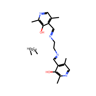 CC(=O)O.CC(=O)O.Cc1cnc(C)c(O)c1C=NCCN=Cc1c(C)cnc(C)c1O